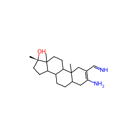 CC12CC(C=N)=C(N)CC1CCC1C2CCC2(C)C1CC[C@]2(C)O